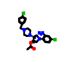 CC(=O)O[C@@H]1CN(c2ccc(Cl)cc2N)C[C@H]1N1CCN(Cc2ccc(Cl)cc2)CC1